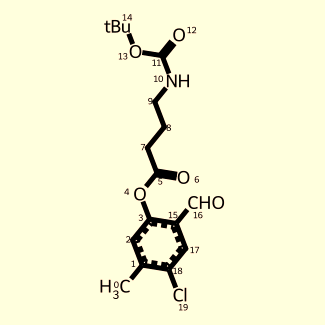 Cc1cc(OC(=O)CCCNC(=O)OC(C)(C)C)c(C=O)cc1Cl